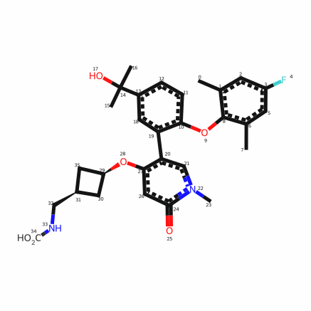 Cc1cc(F)cc(C)c1Oc1ccc(C(C)(C)O)cc1-c1cn(C)c(=O)cc1O[C@H]1C[C@@H](CNC(=O)O)C1